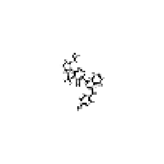 CC(C)(C)[C@H](NC(=O)c1nn(Cc2ccc(F)cc2)c2ccccc12)C(=O)N1CCC[C@@H]1CO